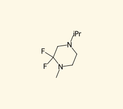 CC(C)N1CCN(C)C(F)(F)C1